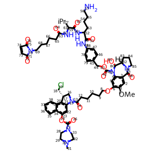 COc1cc2c(cc1OCCCCCC(=O)N1C[C@@H](CCl)c3c1cc(OC(=O)N1CCN(C)CC1)c1ccccc31)N(C(=O)OCc1ccc(NC(=O)C(CCCCN)NC(=O)C(NC(=O)CCCCCN3C(=O)C=CC3=O)C(C)C)cc1)C(O)[C@@H]1CCCN1C2=O